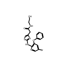 O=C(Cc1csc(Nc2ncc(Br)cc2Oc2ccccc2)n1)NCCO